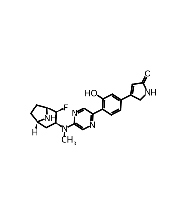 CN(c1cnc(-c2ccc(C3=CC(=O)NC3)cc2O)cn1)[C@H]1C[C@@H]2CCC(N2)[C@H]1F